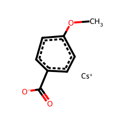 COc1ccc(C(=O)[O-])cc1.[Cs+]